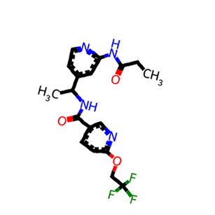 CCC(=O)Nc1cc(C(C)NC(=O)c2ccc(OCC(F)(F)F)nc2)ccn1